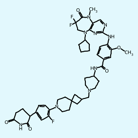 COc1cc(C(=O)NC2CCN(CC3CC4(CCN(c5ccc(C6CCC(=O)NC6=O)cc5F)CC4)C3)CC2)ccc1Nc1ncc2c(n1)N(C1CCCC1)CC(F)(F)C(=O)N2C